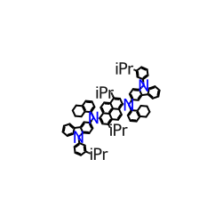 CC(C)c1cccc(-n2c3ccccc3c3cc(N(c4cccc5c4CCCC5)c4cc(C(C)C)c5ccc6c(N(c7ccc8c(c7)c7ccccc7n8-c7cccc(C(C)C)c7)c7cccc8c7CCCC8)cc(C(C)C)c7ccc4c5c76)ccc32)c1